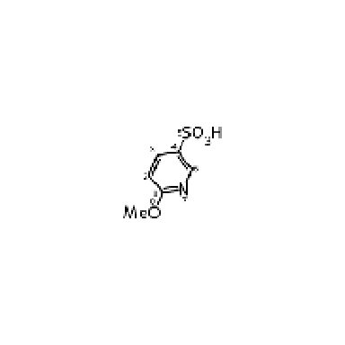 COc1ccc(S(=O)(=O)O)cn1